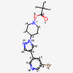 CC(C)(C)C(=O)ON1CCC(n2cc(-c3cncc(Br)c3)cn2)CC1